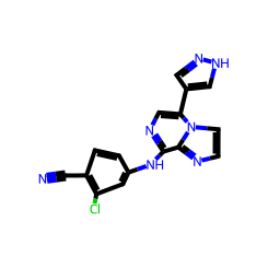 N#Cc1ccc(Nc2ncc(-c3cn[nH]c3)n3ccnc23)cc1Cl